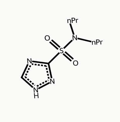 CCCN(CCC)S(=O)(=O)c1nc[nH]n1